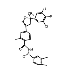 Cc1ccc([S+]([O-])NC(=O)c2ccc(C3=NOC(c4cc(Cl)c(F)c(Cl)c4)(C(F)(F)F)C3)cc2C)cc1C